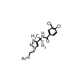 CC(=O)SCCn1cc(C(C)(C)NC(=O)c2ccc(Cl)c(Cl)c2)nn1